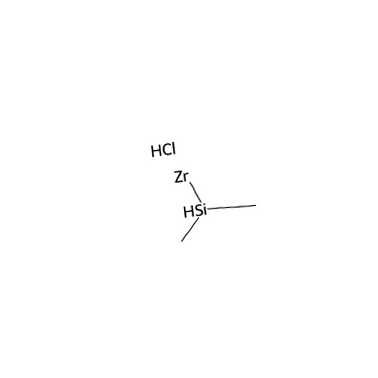 C[SiH](C)[Zr].Cl